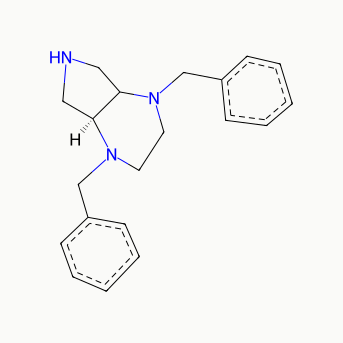 c1ccc(CN2CCN(Cc3ccccc3)[C@H]3CNCC32)cc1